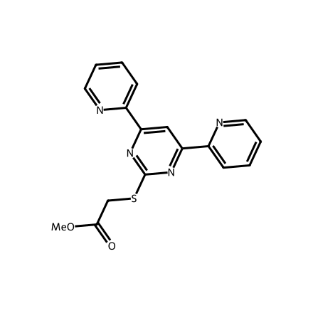 COC(=O)CSc1nc(-c2ccccn2)cc(-c2ccccn2)n1